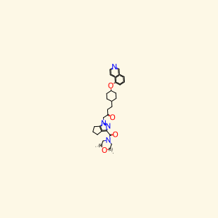 C[C@@H]1CN(C(=O)c2nn(CC(=O)CCC3CCC(Oc4cccc5cnccc45)CC3)c3c2CCC3)C[C@H](C)O1